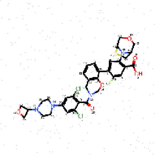 O=C(O)c1cc(F)c(-c2cccc3c2OCN(C(=O)c2c(Cl)cc(N4CCN(C5COC5)CC4)cc2Cl)C3)cc1N1C2COCC1SC2